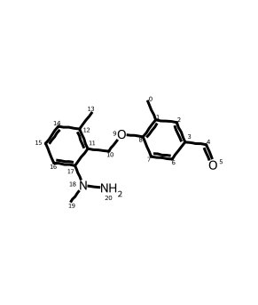 Cc1cc(C=O)ccc1OCc1c(C)cccc1N(C)N